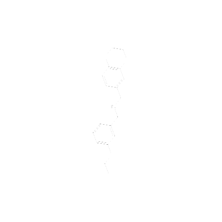 CCOc1cccc(CNCc2ccc3c(c2)OCCO3)c1